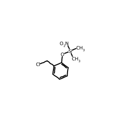 C[Si](C)(Oc1ccccc1CCl)[N+](=O)[O-]